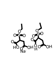 CCOS(=O)(=O)C(CC(=O)O)C(=O)O.CCOS(=O)(=O)C(CC(=O)O)C(=O)O.[Na]